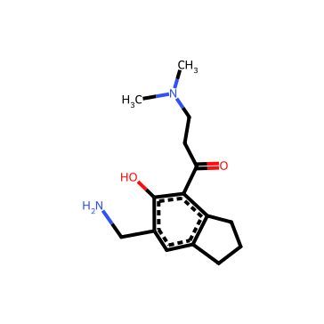 CN(C)CCC(=O)c1c(O)c(CN)cc2c1CCC2